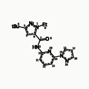 CCn1nc(C(C)(C)C)cc1C(=O)Nc1cccc(-n2cccn2)n1